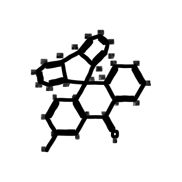 Cc1ccc2c(c1)C(=O)c1ccccc1C21c2ccccc2-c2ccccc21